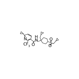 O=C(NCC1(CC2CC2)CCC(S(=O)(=O)CC2CC2)CC1)c1ccc(C2CC2)nc1C(F)(F)F